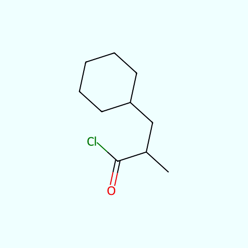 CC(CC1CCCCC1)C(=O)Cl